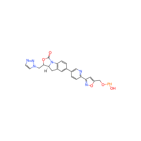 O=C1OC(Cn2ccnn2)[C@@H]2Cc3cc(-c4ccc(-c5cc(COPO)on5)nc4)ccc3N12